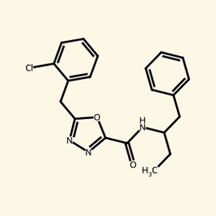 CCC(Cc1ccccc1)NC(=O)c1nnc(Cc2ccccc2Cl)o1